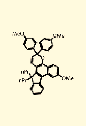 CCCC1(CCC)c2ccccc2-c2c1c1c(c3ccc(OC)cc23)OC(c2ccc(OC)cc2)(c2ccc(OC)cc2)C=C1